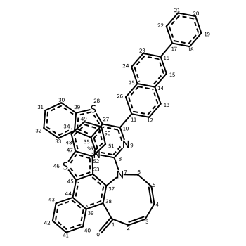 C=C1/C=C\C=C/CN(c2nc(-c3ccc4cc(-c5ccccc5)ccc4c3)c3sc4ccccc4c3n2)c2c1c1ccccc1c1sc3ccccc3c21